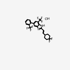 Cl.FC1(F)CCC(C=Cc2nc3cc(-c4ccccc4C(F)(F)F)cc(C(F)(F)F)c3[nH]2)CC1